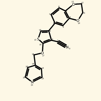 N#Cc1c(-c2ccc3c(c2)OCCO3)csc1OCc1ccncc1